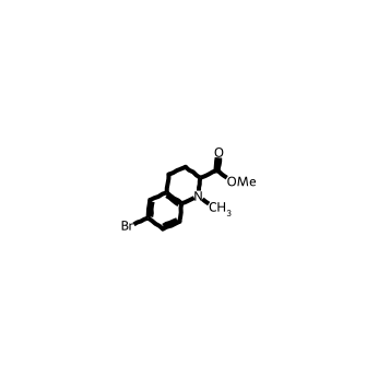 COC(=O)C1CCc2cc(Br)ccc2N1C